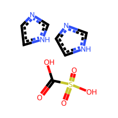 O=C(O)S(=O)(=O)O.c1c[nH]cn1.c1c[nH]cn1